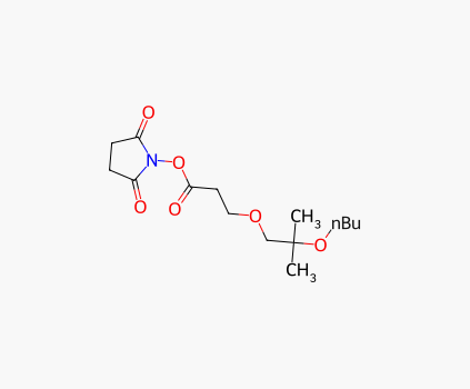 CCCCOC(C)(C)COCCC(=O)ON1C(=O)CCC1=O